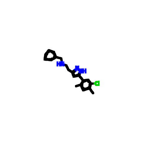 Cc1cc(C)c(-c2cc(CCNCc3ccccc3)n[nH]2)cc1Cl